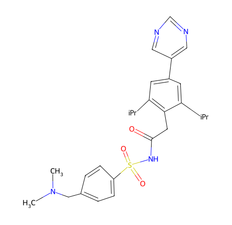 CC(C)c1cc(-c2cncnc2)cc(C(C)C)c1CC(=O)NS(=O)(=O)c1ccc(CN(C)C)cc1